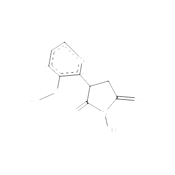 O=C1CC(c2ncccc2SS)C(=O)N1O